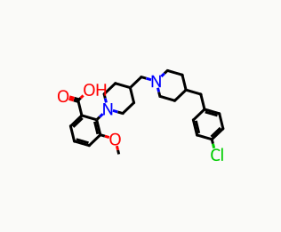 COc1cccc(C(=O)O)c1N1CCC(CN2CCC(Cc3ccc(Cl)cc3)CC2)CC1